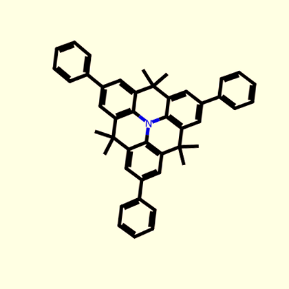 CC1(C)c2cc(-c3ccccc3)cc3c2N2c4c1cc(-c1ccccc1)cc4C(C)(C)c1cc(-c4ccccc4)cc(c12)C3(C)C